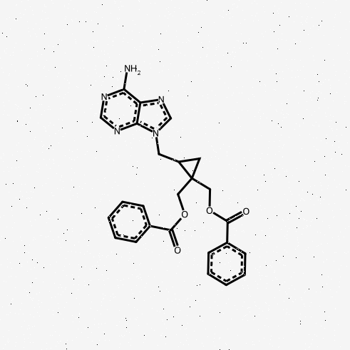 Nc1ncnc2c1ncn2CC1CC1(COC(=O)c1ccccc1)COC(=O)c1ccccc1